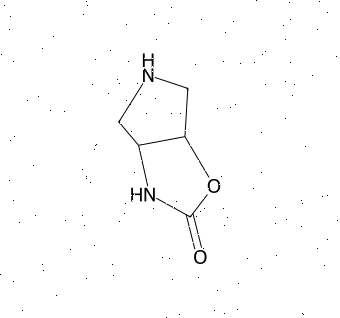 O=C1NC2CNCC2O1